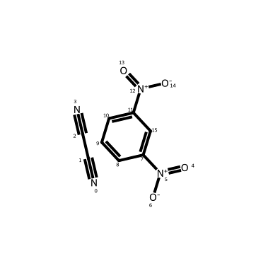 N#CC#N.O=[N+]([O-])c1cccc([N+](=O)[O-])c1